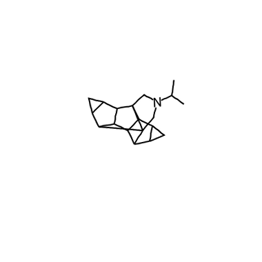 CC(C)N1CC23C4C5CC5C5C4C4C2C2CC2C4C53C1